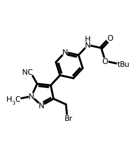 Cn1nc(CBr)c(-c2ccc(NC(=O)OC(C)(C)C)nc2)c1C#N